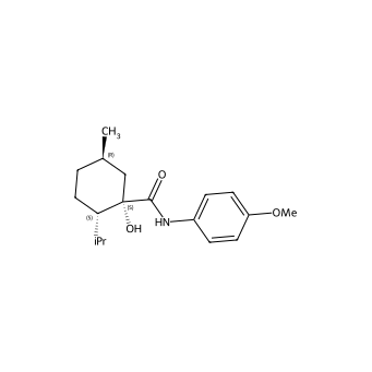 COc1ccc(NC(=O)[C@]2(O)C[C@H](C)CC[C@H]2C(C)C)cc1